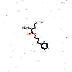 CCCCCCCCCCCCC(CCCCCCCCCC)C(=O)OCCCc1ccccc1